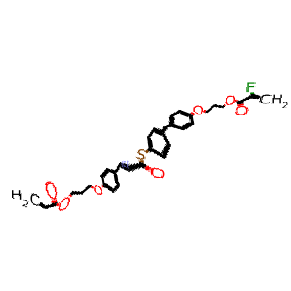 C=CC(=O)OCCCOc1ccc(/C=C/C(=O)Sc2ccc(-c3ccc(OCCCOC(=O)C(=C)F)cc3)cc2)cc1